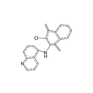 C=c1c(Cl)c(Nc2cccc3ncccc23)c(=C)c2ccccc12